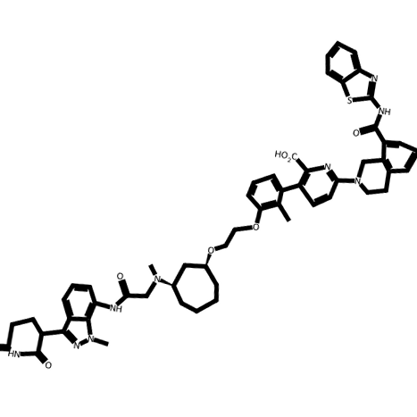 Cc1c(OCCO[C@H]2CCCC[C@@H](N(C)CC(=O)Nc3cccc4c(C5CCC(=O)NC5=O)nn(C)c34)C2)cccc1-c1ccc(N2CCc3cccc(C(=O)Nc4nc5ccccc5s4)c3C2)nc1C(=O)O